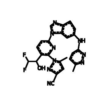 Cc1ccc(Nc2ccc3ncn(-c4ccc(C(O)C(F)F)c(-n5nc(C#N)cc5C)n4)c3c2)nn1